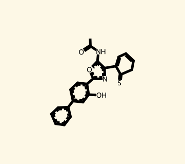 CC(=O)Nc1oc(-c2ccc(-c3ccccc3)cc2O)nc1C1=CC=CCC1=S